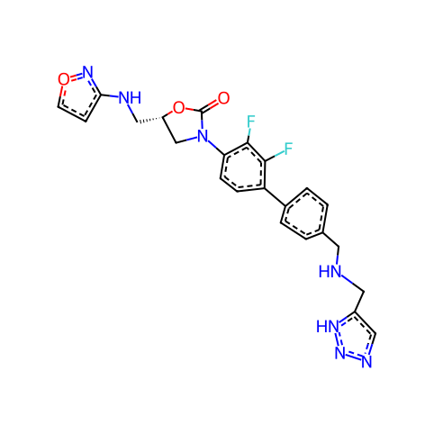 O=C1O[C@@H](CNc2ccon2)CN1c1ccc(-c2ccc(CNCc3cnn[nH]3)cc2)c(F)c1F